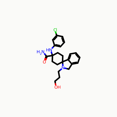 NC(=O)C1(Nc2cccc(Cl)c2)CCC2(CC1)c1ccccc1CN2CCCO